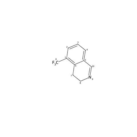 FC(F)(F)c1cccc2c1CCN=C2